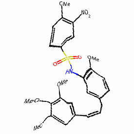 COc1ccc(/C=C\c2cc(OC)c(OC)c(OC)c2)cc1NS(=O)(=O)c1ccc(OC)c([N+](=O)[O-])c1